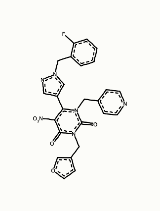 O=c1c([N+](=O)[O-])c(-c2cnn(Cc3ccccc3F)c2)n(Cc2ccncc2)c(=O)n1Cc1ccoc1